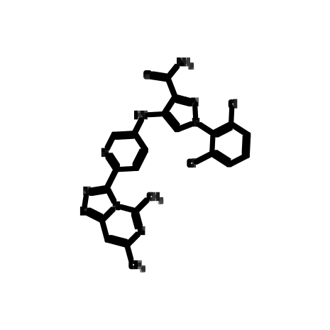 Cc1cc2nnc(-c3ccc(Nc4cn(-c5c(Cl)cccc5Cl)nc4C(N)=O)cn3)n2c(C)n1